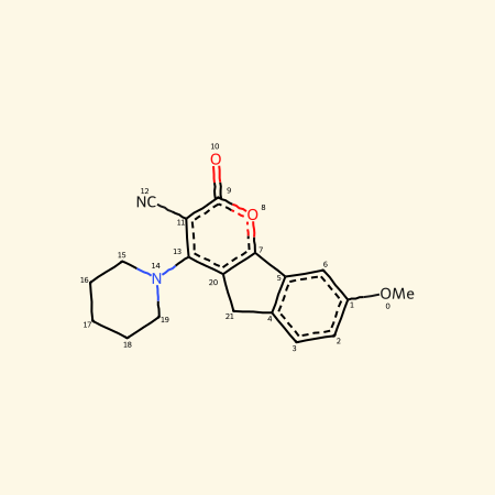 COc1ccc2c(c1)-c1oc(=O)c(C#N)c(N3CCCCC3)c1C2